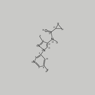 Cc1nn(-c2cncc(F)c2)cc1N(C)C(=O)C1CC1